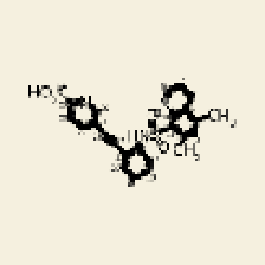 Cc1cc(C)c2cccnc2c1S(=O)(=O)Nc1ccccc1C#Cc1ccc(C(=O)O)nc1